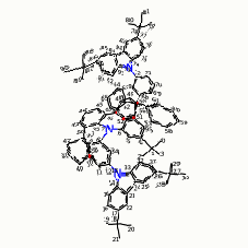 CC(C)(C)c1cc(N(c2cccc(-n3c4ccc(C(C)(C)C)cc4c4cc(C(C)(C)C)ccc43)c2)c2c(-c3ccccc3)cccc2-c2ccccc2)cc(C(c2ccccc2)(c2ccccc2)c2cccc(-n3c4ccc(C(C)(C)C)cc4c4cc(C(C)(C)C)ccc43)c2)c1